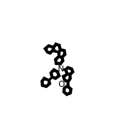 c1ccc(-c2ccc(N(c3ccc4c(ccc5ccc6ccccc6c54)c3)c3cccc4cc5c(cc34)oc3ccccc35)cc2)cc1